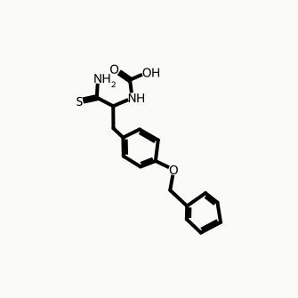 NC(=S)C(Cc1ccc(OCc2ccccc2)cc1)NC(=O)O